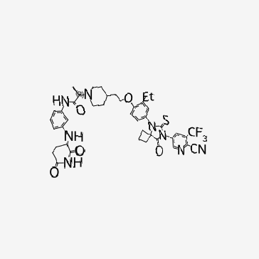 CCc1cc(N2C(=S)N(c3cnc(C#N)c(C(F)(F)F)c3)C(=O)C23CCC3)ccc1OCCC1CCN([C@H](C)C(=O)Nc2cccc(NC3CCC(=O)NC3=O)c2)CC1